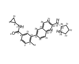 Cc1ccc(C(=O)NC2CC2)cc1-c1ccc2nc(N[C@@H]3CCCN3)ncc2c1